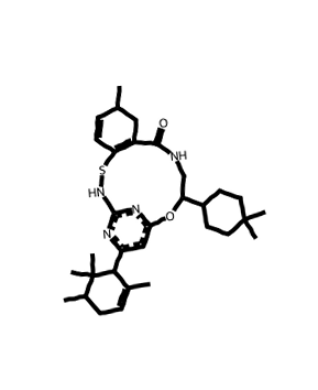 CC1=CCC(C)C(C)(C)C1c1cc2nc(n1)NSC1=C(CC(C)C=C1)C(=O)NCC(C1CCC(C)(C)CC1)O2